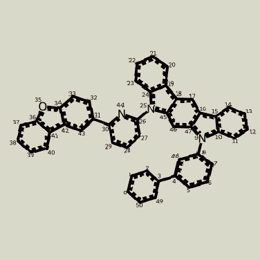 c1ccc(-c2cccc(-n3c4ccccc4c4cc5c6ccccc6n(-c6cccc(-c7ccc8oc9ccccc9c8c7)n6)c5cc43)c2)cc1